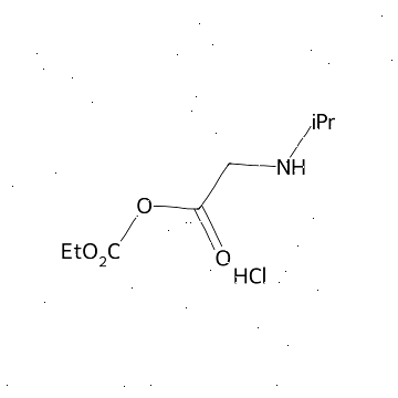 CCOC(=O)OC(=O)CNC(C)C.Cl